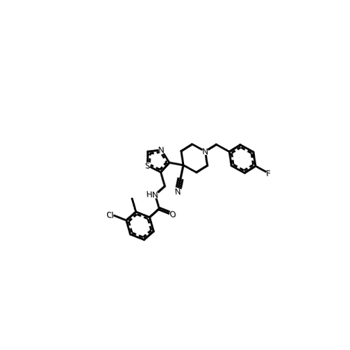 Cc1c(Cl)cccc1C(=O)NCc1scnc1C1(C#N)CCN(Cc2ccc(F)cc2)CC1